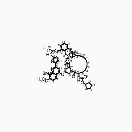 COc1ccc2c(O[C@@H]3C[C@H]4C(=O)N[C@]5(P(=O)(O)Cc6c(F)cccc6F)C[C@H]5/C=C\CCCCC[C@H](NC(=O)OC5CCCC5)C(=O)N4C3)cc(-c3csc(NC(C)C)n3)nc2c1Br